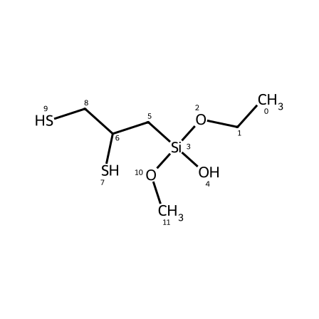 CCO[Si](O)(CC(S)CS)OC